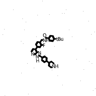 CC(C)(C)c1ccc(C(=O)NCc2ccc(-c3ccnc4[nH]c(-c5ccc(C6=CCNCC6)cc5)nc34)cc2F)cc1